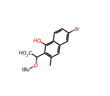 Cc1cc2cc(Br)ccc2c(O)c1C(OC(C)(C)C)C(=O)O